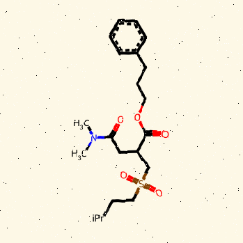 CC(C)CCS(=O)(=O)CC(CC(=O)N(C)C)C(=O)OCCCc1ccccc1